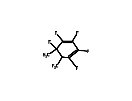 CC1(F)C(F)=C(F)C(F)=C(F)C1C(F)(F)F